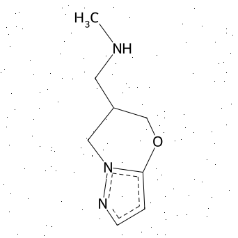 CNCC1COc2ccnn2C1